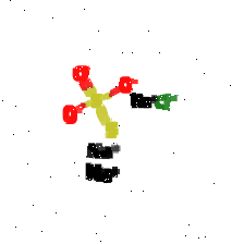 O=S([O-])([O-])=S.[Cl-].[Na+].[Na+].[Na+]